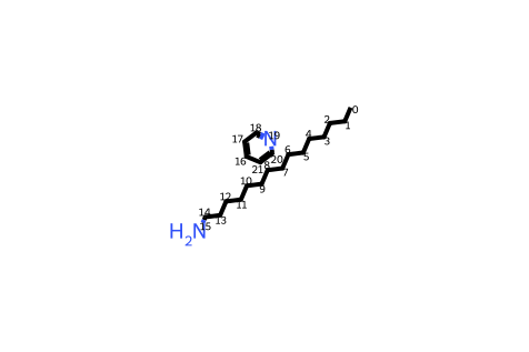 CCCCCCCCCCCCCCCN.c1ccncc1